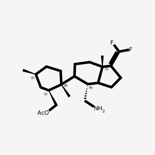 CC(=O)OC[C@H]1C[C@@H](C)CC[C@]1(C)C1CC[C@]2(C)C(=C(F)F)CCC2[C@@H]1CN